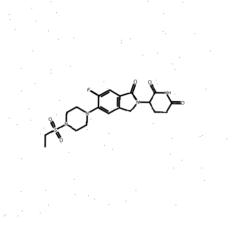 CCS(=O)(=O)N1CCN(c2cc3c(cc2F)C(=O)N(C2CCC(=O)NC2=O)C3)CC1